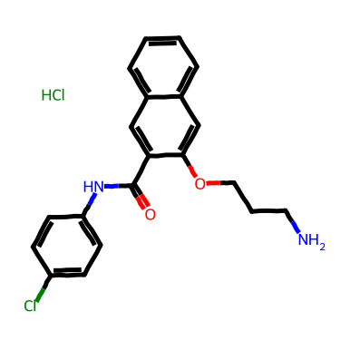 Cl.NCCCOc1cc2ccccc2cc1C(=O)Nc1ccc(Cl)cc1